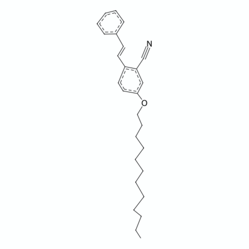 CCCCCCCCCCCCOc1ccc(C=Cc2ccccc2)c(C#N)c1